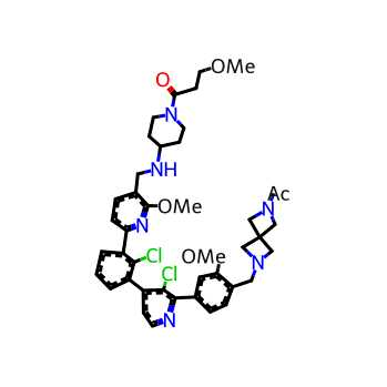 COCCC(=O)N1CCC(NCc2ccc(-c3cccc(-c4ccnc(-c5ccc(CN6CC7(C6)CN(C(C)=O)C7)c(OC)c5)c4Cl)c3Cl)nc2OC)CC1